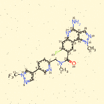 CN(Cc1ccc(-c2cnn(C(F)(F)F)c2)cn1)C(=O)c1cc2c(cc1F)nc(N)c1cnn(C)c12